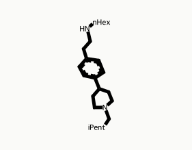 CCCCCCNCCc1ccc(C2CCN(CC(C)CCC)CC2)cc1